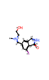 CN(CCO)Cc1cc(I)c2c(c1)CNC2=O